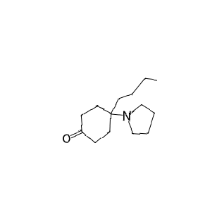 CCCCC1(N2CCCC2)CCC(=O)CC1